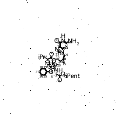 CCC[C@H](C)OC(=O)[C@H](C)NP(=O)(OC[C@@]1(COC(=O)[C@@H](N)C(C)C)C/C1=C/n1cnc2c(=O)[nH]c(N)nc21)Oc1ccccc1